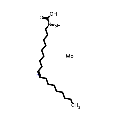 CCCCCCCC/C=C\CCCCCCCCN(S)C(=O)O.[Mo]